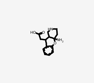 NC12CCNCC1C(CC(=O)O)c1ccccc1O2